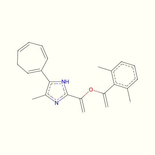 C=C(OC(=C)c1c(C)cccc1C)c1nc(C)c(C2=CCC=CC=C2)[nH]1